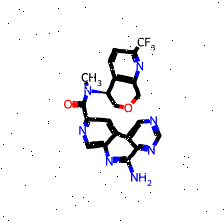 CN(C(=O)c1cc2c(cn1)nc(N)c1ncncc12)[C@@H]1COCc2nc(C(F)(F)F)ccc21